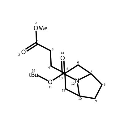 COC(=O)CCC1CC2CCC(C1)N2C(=O)OC(C)(C)C